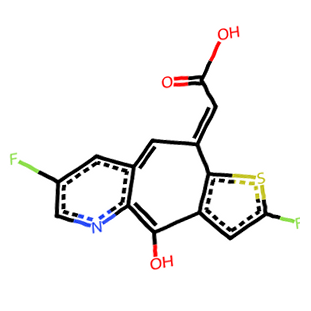 O=C(O)C=C1C=c2cc(F)cnc2=C(O)c2cc(F)sc21